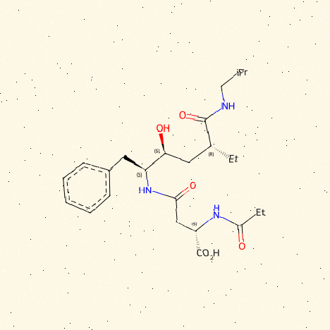 CCC(=O)N[C@@H](CC(=O)N[C@@H](Cc1ccccc1)[C@@H](O)C[C@@H](CC)C(=O)NCC(C)C)C(=O)O